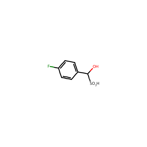 O=S(=O)(O)C(O)c1ccc(F)cc1